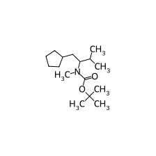 CC(C)C(CC1CCCC1)N(C)C(=O)OC(C)(C)C